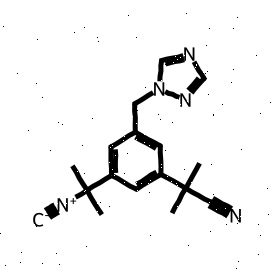 [C-]#[N+]C(C)(C)c1cc(Cn2cncn2)cc(C(C)(C)C#N)c1